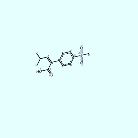 CC(C)C=C(C(=O)O)c1ccc(S(C)(=O)=O)cc1